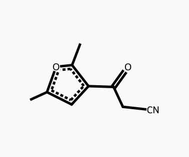 Cc1cc(C(=O)CC#N)c(C)o1